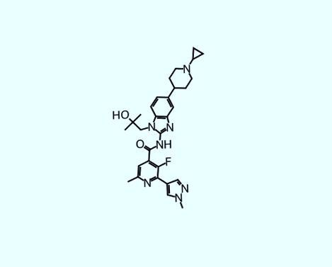 Cc1cc(C(=O)Nc2nc3cc(C4CCN(C5CC5)CC4)ccc3n2CC(C)(C)O)c(F)c(-c2cnn(C)c2)n1